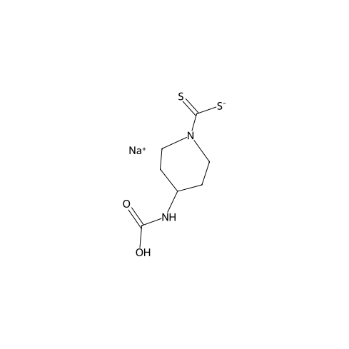 O=C(O)NC1CCN(C(=S)[S-])CC1.[Na+]